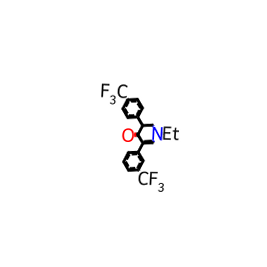 CCN1C=C(c2cccc(C(F)(F)F)c2)C(=O)C(c2ccc(C(F)(F)F)cc2)C1